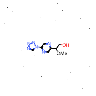 COC(CO)c1cnc(-n2cnnn2)cn1